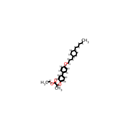 CCCCCC1CCC(CCCOc2ccc(-c3ccc(OC(C)C(=O)OCC)cc3)cc2)CC1